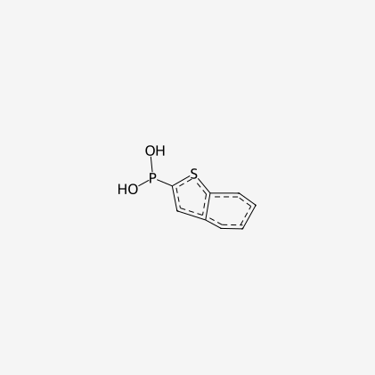 OP(O)c1cc2ccccc2s1